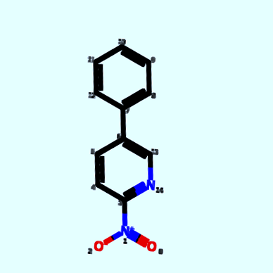 O=[N+]([O-])c1ccc(-c2ccccc2)cn1